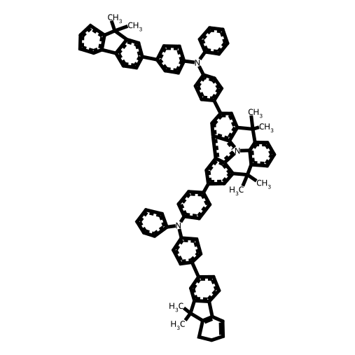 CC1(C)C2=C(C=CCC2)c2ccc(-c3ccc(N(c4ccccc4)c4ccc(-c5cc6c7c(c5)c5cc(-c8ccc(N(c9ccccc9)c9ccc(-c%10ccc%11c(c%10)C(C)(C)c%10ccccc%10-%11)cc9)cc8)cc8c5n7-c5c(cccc5C8(C)C)C6(C)C)cc4)cc3)cc21